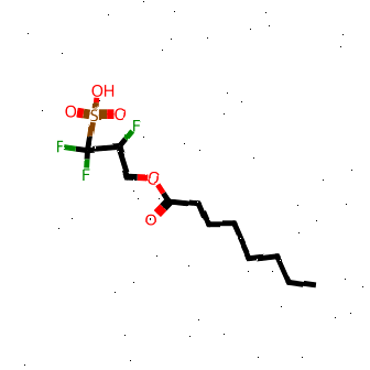 CCCCCCCC(=O)OCC(F)C(F)(F)S(=O)(=O)O